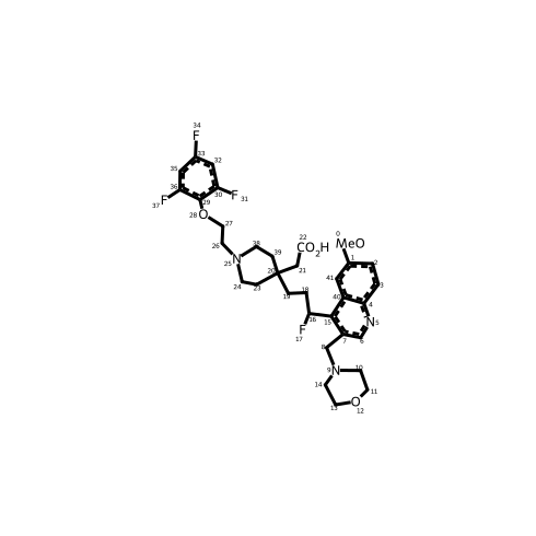 COc1ccc2ncc(CN3CCOCC3)c(C(F)CCC3(CC(=O)O)CCN(CCOc4c(F)cc(F)cc4F)CC3)c2c1